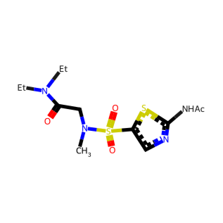 CCN(CC)C(=O)CN(C)S(=O)(=O)c1cnc(NC(C)=O)s1